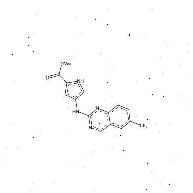 CNC(=O)c1cc(Nc2ncc3cc(C(F)(F)F)ccc3n2)c[nH]1